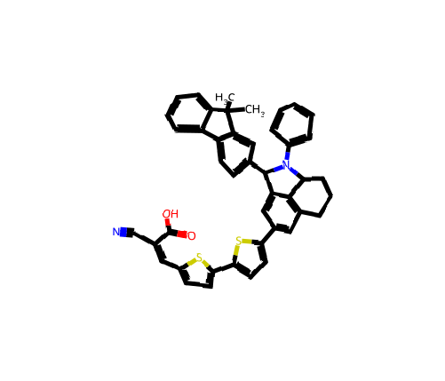 CC1(C)c2ccccc2-c2ccc(C3c4cc(-c5ccc(-c6ccc(C=C(C#N)C(=O)O)s6)s5)cc5c4C(CCC5)N3c3ccccc3)cc21